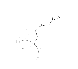 CCO[Si](C[C@H](C)OCC1CO1)(OCC)OCC